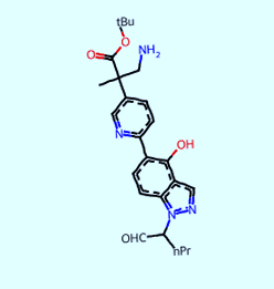 CCCC(C=O)n1ncc2c(O)c(-c3ccc(C(C)(CN)C(=O)OC(C)(C)C)cn3)ccc21